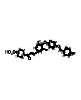 Cc1cc(C=CC(=O)N2CCN(C(=O)O)CC2)cc(C)c1Oc1ccc(OCc2ccc(F)cc2)cn1